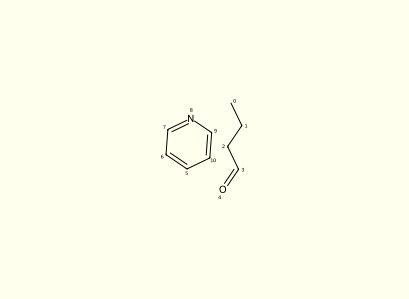 CCCC=O.c1ccncc1